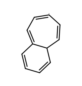 [C]1=CC=C2C=CC=CC2C=C1